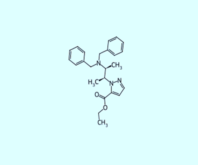 CCOC(=O)c1ccnn1[C@@H](C)[C@H](C)N(Cc1ccccc1)Cc1ccccc1